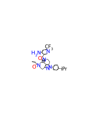 C=CC(=O)N1CCc2nn(-c3ccc(C(C)C)cc3)c3c2[C@H](C1)N(C(=O)c1cnc(C(F)(F)F)cc1N)CC3